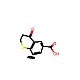 C=C.O=C(O)c1ccc2c(c1)C(=O)CCS2